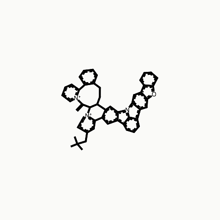 C=C1C2C(CCc3ccccc3-c3cccc[n+]31)c1cc3c(cc1-c1cc(CC(C)(C)C)cc[n+]12)c1cccc2c4cc5oc6ccccc6c5cc4n3c12